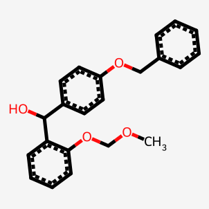 COCOc1ccccc1C(O)c1ccc(OCc2ccccc2)cc1